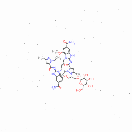 CCn1nc(C)cc1C(=O)/N=c1/[nH]c2cc(C(N)=O)cc(OC)c2n1C/C=C/Cn1/c(=N/C(=O)c2cc(C)nn2CC)[nH]c2cc(C(N)=O)cc(OCCCO[C@H]3O[C@H](CO)[C@@H](O)[C@H](O)[C@H]3O)c21